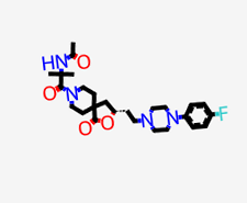 CC(=O)NC(C)(C)C(=O)N1CCC2(CC1)C[C@H](CCN1CCN(c3ccc(F)cc3)CC1)OC2=O